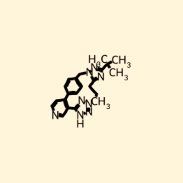 CCCc1nc(C(C)(C)C)nn1Cc1ccc(-c2ccncc2-c2nnn[nH]2)cc1